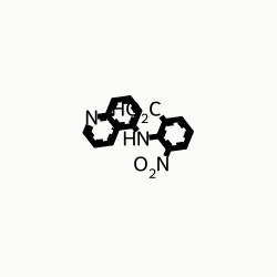 O=C(O)c1cccc([N+](=O)[O-])c1Nc1cccc2ncccc12